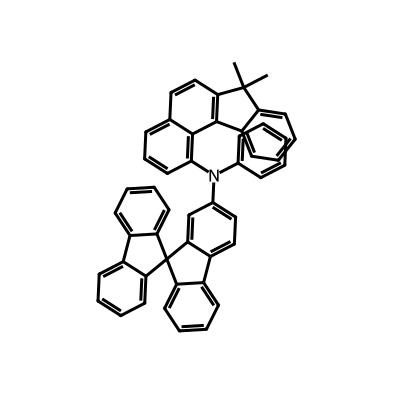 CC1(C)c2ccccc2-c2c1ccc1cccc(N(c3ccccc3)c3ccc4c(c3)C3(c5ccccc5-c5ccccc53)c3ccccc3-4)c21